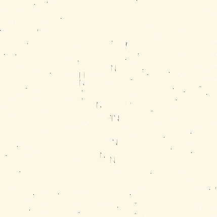 CC1CC(c2cccc(NC(=O)c3cc(CN4CCC[C@H](C)C4)c4c(n3)C(C)(C)CN4)c2)(c2nncn2C)C1